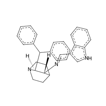 C(=N\[C@@H]1C2CCN(CC2)[C@H]1C(c1ccccc1)c1ccccc1)/c1c[nH]c2ccccc12